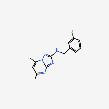 Cc1cc(Cl)n2nc(NCc3cccc(Cl)c3)nc2n1